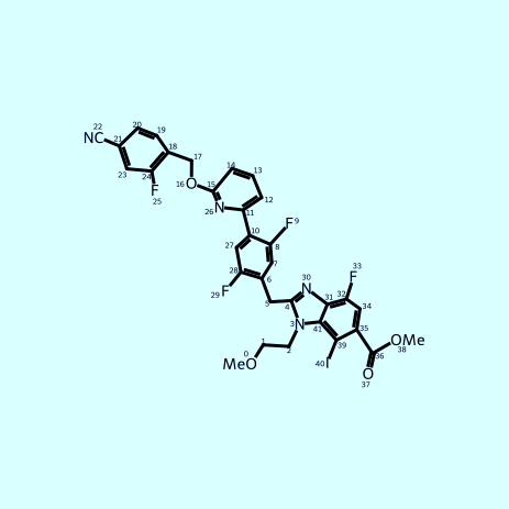 COCCn1c(Cc2cc(F)c(-c3cccc(OCc4ccc(C#N)cc4F)n3)cc2F)nc2c(F)cc(C(=O)OC)c(I)c21